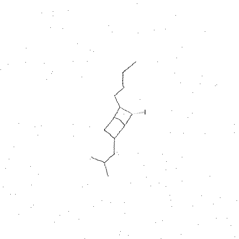 CCCCC1C2CC(CC(C)C)C2[C@H]1I